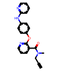 C#CCN(C)C(=O)c1cccnc1Oc1ccc(Nc2ccccn2)cc1